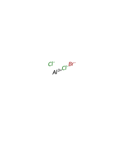 [Al+3].[Br-].[Cl-].[Cl-]